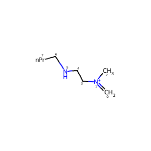 C=[N+](C)CCNCCCC